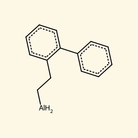 [AlH2][CH2]Cc1ccccc1-c1ccccc1